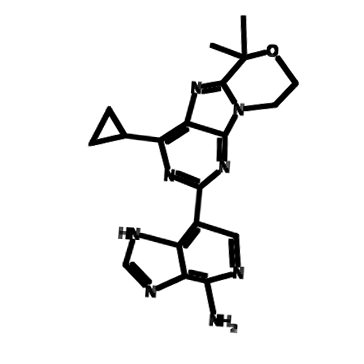 CC1(C)OCCn2c1nc1c(C3CC3)nc(-c3cnc(N)c4nc[nH]c34)nc12